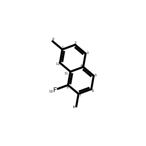 Cc1ccc2ccc(C)c(F)c2c1